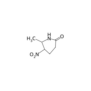 CC1NC(=O)CCC1[N+](=O)[O-]